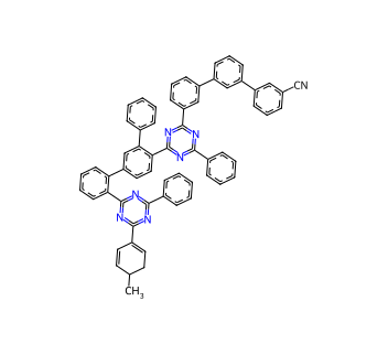 CC1C=CC(c2nc(-c3ccccc3)nc(-c3ccccc3-c3ccc(-c4nc(-c5ccccc5)nc(-c5cccc(-c6cccc(-c7cccc(C#N)c7)c6)c5)n4)c(-c4ccccc4)c3)n2)=CC1